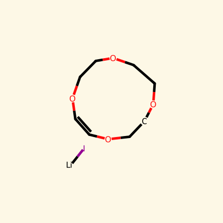 C1=C\OCCOCCOCCO/1.[Li][I]